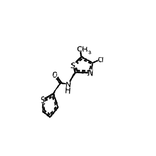 Cc1sc(NC(=O)c2cccs2)nc1Cl